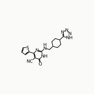 N#Cc1c(-c2cccs2)nc(NCC2CCC(c3nnn[nH]3)CC2)[nH]c1=O